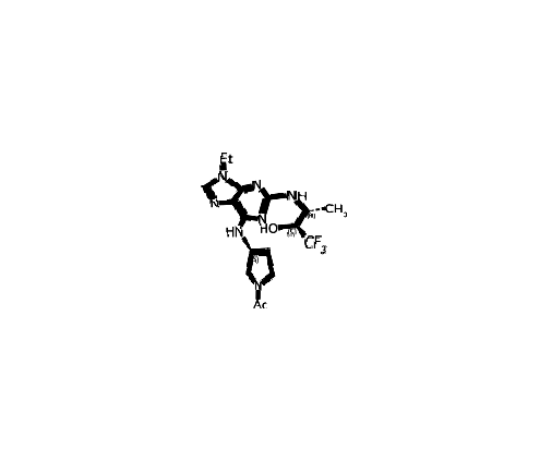 CCn1cnc2c(N[C@H]3CCN(C(C)=O)C3)nc(N[C@H](C)[C@H](O)C(F)(F)F)nc21